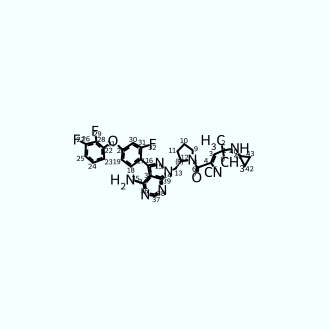 CC(C)(C=C(C#N)C(=O)N1CCC[C@@H]1Cn1nc(-c2ccc(Oc3cccc(F)c3F)cc2F)c2c(N)ncnc21)NC1CC1